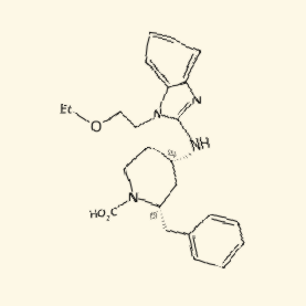 CCOCCn1c(N[C@H]2CCN(C(=O)O)[C@@H](Cc3ccccc3)C2)nc2ccccc21